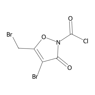 O=C(Cl)n1oc(CBr)c(Br)c1=O